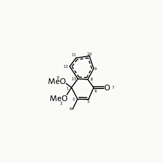 COC1(OC)C(C)=CC(=O)c2ccccc21